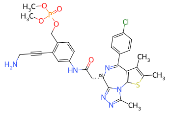 COP(=O)(OC)OCc1ccc(NC(=O)C[C@@H]2N=C(c3ccc(Cl)cc3)c3c(sc(C)c3C)-n3c(C)nnc32)cc1C#CCN